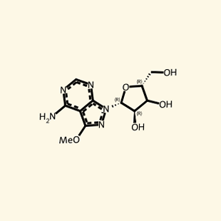 COc1nn([C@@H]2O[C@H](CO)C(O)[C@H]2O)c2ncnc(N)c12